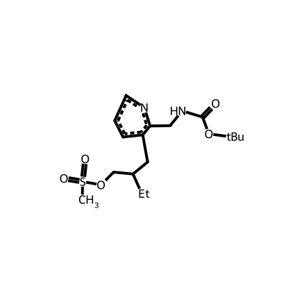 CCC(COS(C)(=O)=O)Cc1cccnc1CNC(=O)OC(C)(C)C